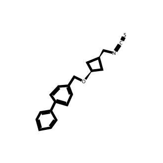 S=C=NC[C@H]1C[C@@H](OCc2ccc(-c3ccccc3)cc2)C1